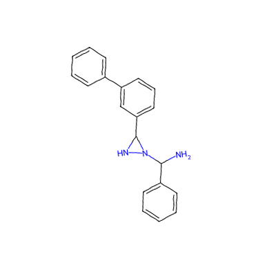 NC(c1ccccc1)N1NC1c1cccc(-c2ccccc2)c1